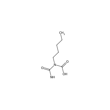 CCCCCN(C([NH])=O)C(=O)O